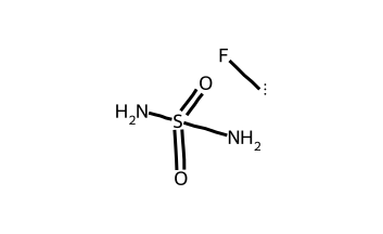 NS(N)(=O)=O.[C]F